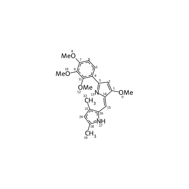 COC1=CC(c2ccc(OC)c(OC)c2OC)=N/C1=C\c1[nH]c(C)cc1C